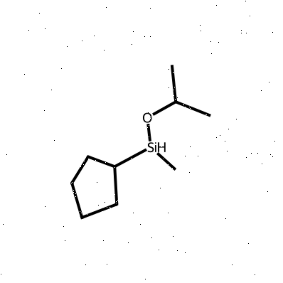 CC(C)O[SiH](C)C1CCCC1